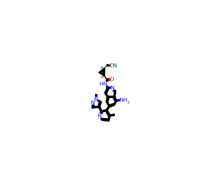 Cc1ccnc(-c2cnn(C)c2)c1-c1cc(N)c2cnc(NC(=O)[C@H]3C[C@@H]3CC#N)cc2c1